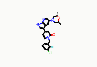 CC1CN(c2cnc3[nH]cc(-c4ccn(Cc5cccc(Cl)c5F)c(=O)c4)c3c2)C[C@H](C)O1